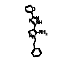 Nc1c(-c2nc(-c3ccco3)n[nH]2)cnn1CCc1ccccc1